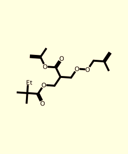 C=C(C)COOCC(COC(=O)C(C)(C)CC)C(=O)OC(=C)C